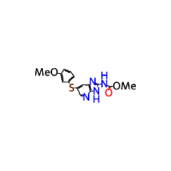 COC(=O)Nc1nc2cc(Sc3cccc(OC)c3)cnc2[nH]1